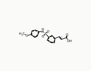 COc1ccc(NS(=O)(=O)c2cccc(/C=C/C(=O)O)c2)cc1